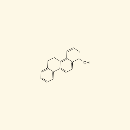 OC1CC=Cc2c1ccc1c2CCc2ccccc2-1